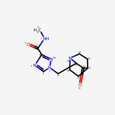 CNC(=O)c1ncn(CC2C(=O)C3CCN2CC3)n1